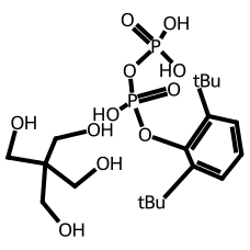 CC(C)(C)c1cccc(C(C)(C)C)c1OP(=O)(O)OP(=O)(O)O.OCC(CO)(CO)CO